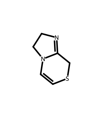 C1=CN2CCN=C2CS1